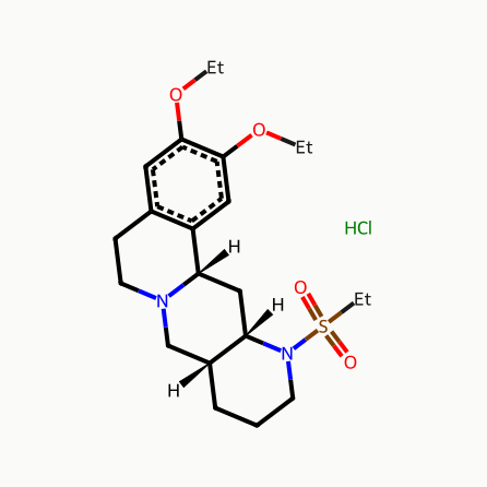 CCOc1cc2c(cc1OCC)[C@@H]1C[C@H]3[C@H](CCCN3S(=O)(=O)CC)CN1CC2.Cl